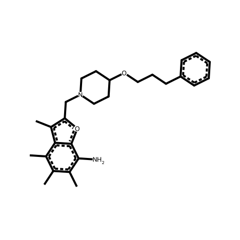 Cc1c(C)c(C)c2c(C)c(CN3CCC(OCCCc4ccccc4)CC3)oc2c1N